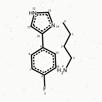 CCCCN.Fc1ccc(-c2c[nH]cn2)cc1